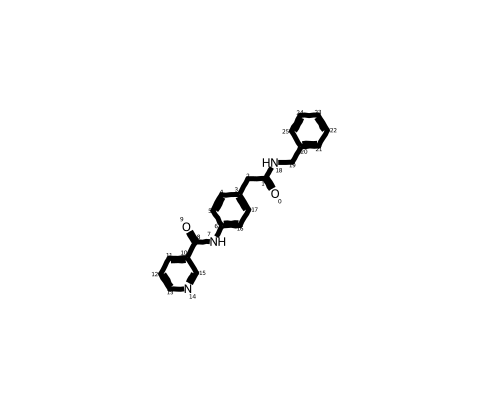 O=C(Cc1ccc(NC(=O)c2cccnc2)cc1)NCc1ccccc1